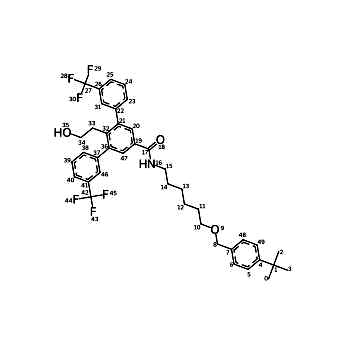 CC(C)(C)c1ccc(COCCCCCCNC(=O)c2cc(-c3cccc(C(F)(F)F)c3)c(CCO)c(-c3cccc(C(F)(F)F)c3)c2)cc1